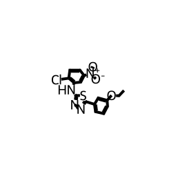 CCOc1cccc(-c2nnc(Nc3cc([N+](=O)[O-])ccc3Cl)s2)c1